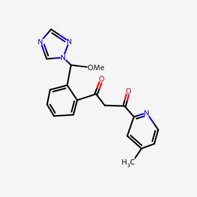 COC(c1ccccc1C(=O)CC(=O)c1cc(C)ccn1)n1cncn1